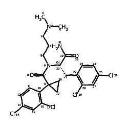 CN(C)CCCN(C(=O)C1(c2ccc(Cl)cc2Cl)CC1)[C@@H](Cc1ccc(Cl)cc1Cl)C(N)=O